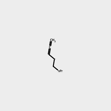 C=C=C[CH]CCCC